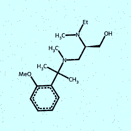 CCN(C)[C@@H](CO)CN(C)C(C)(C)c1ccccc1OC